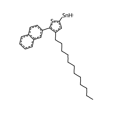 CCCCCCCCCCCCc1c[c]([SnH])sc1-c1ccc2ccccc2c1